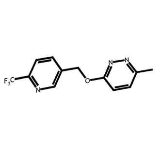 Cc1ccc(OCc2ccc(C(F)(F)F)nc2)nn1